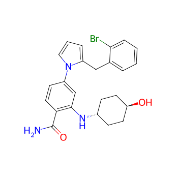 NC(=O)c1ccc(-n2cccc2Cc2ccccc2Br)cc1N[C@H]1CC[C@H](O)CC1